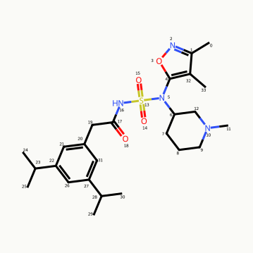 Cc1noc(N(C2CCCN(C)C2)S(=O)(=O)NC(=O)Cc2cc(C(C)C)cc(C(C)C)c2)c1C